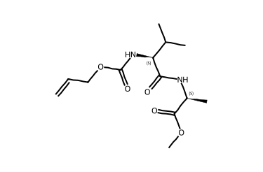 C=CCOC(=O)N[C@H](C(=O)N[C@@H](C)C(=O)OC)C(C)C